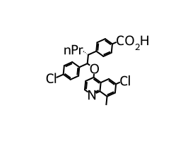 CCC[C@H](c1ccc(C(=O)O)cc1)C(Oc1ccnc2c(C)cc(Cl)cc12)c1ccc(Cl)cc1